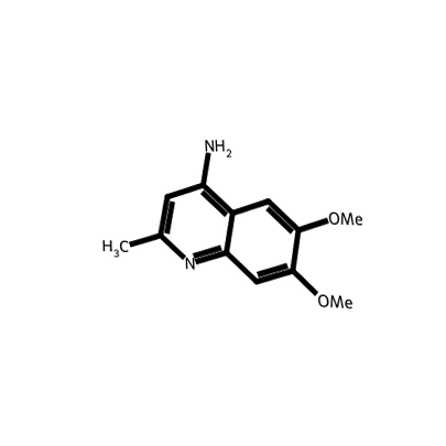 COc1cc2nc(C)cc(N)c2cc1OC